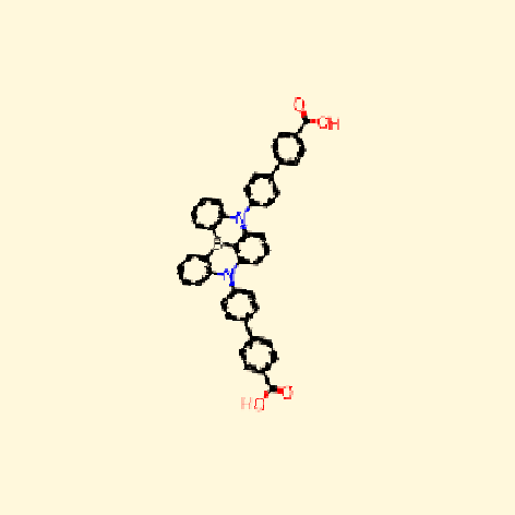 O=C(O)c1ccc(-c2ccc(N3c4ccccc4B4c5ccccc5N(c5ccc(-c6ccc(C(=O)O)cc6)cc5)c5cccc3c54)cc2)cc1